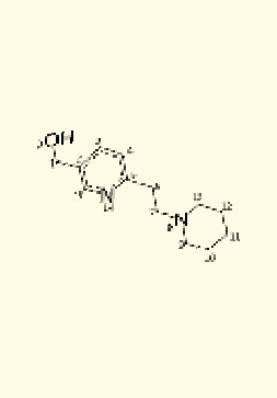 OCc1ccc(CCN2CCCCC2)nc1